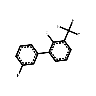 Fc1cc[c]c(-c2cccc(C(F)(F)F)c2F)c1